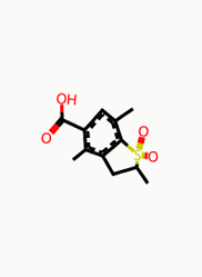 Cc1cc(C(=O)O)c(C)c2c1S(=O)(=O)C(C)C2